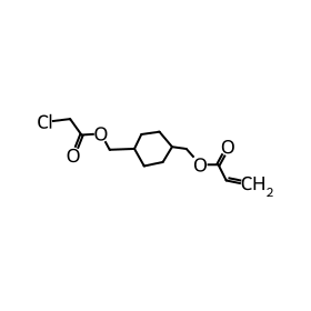 C=CC(=O)OCC1CCC(COC(=O)CCl)CC1